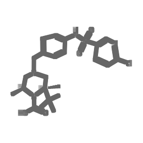 C[C@H]1CN(Cc2ccc(NS(=O)(=O)c3ccc(Cl)nc3)cc2)C[C@@](C)(C(C)(C)C)N1C(=O)O